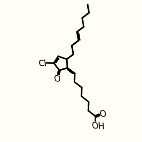 CCCC/C=C/CCC1C=C(Cl)C(=O)/C1=C\CCCCCC(=O)O